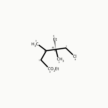 CCOC(=O)CC(C)[C@@](C)(CC)CCl